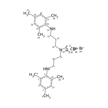 Cc1cc(C)c(NCCCN(C)CCCNc2c(C)cc(C)cc2C)c(C)c1.[Br-].[Br-].[Co+2]